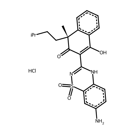 CC(C)CC[C@@]1(C)C(=O)C(C2=NS(=O)(=O)c3cc(N)ccc3N2)=C(O)c2ccccc21.Cl